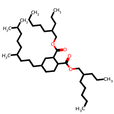 CCCCCC(CCC)COC(=O)C1CCC(CCCC(C)CCCC(C)C)CC1C(=O)OCC(CCC)CCCCC